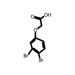 O=C(O)COc1ccc(Br)c(Br)c1